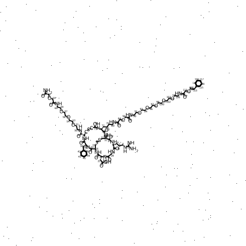 N=C(N)NCCC[C@@H]1NC(=O)[C@@H]2CSSCC(NC(=O)[C@H](CC(=O)O)NC(=O)CNC1=O)C(=O)N[C@@H](Cc1ccccc1)C(=O)N[C@H](C(=O)NCCOCCOCCOCCNC(=O)COCC(N)=O)CSCC(=O)N[C@@H](CCCCNC(=O)COCC(=O)NCCOCCOCCOCCOCCOCCNC(=O)CO/N=C/c1ccccc1)C(=O)N2